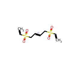 C=CS(=O)(=O)C/C=C/CS(=O)(=O)C=C